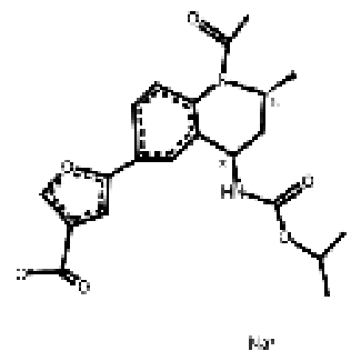 CC(=O)N1c2ccc(-c3cc(C(=O)[O-])co3)cc2[C@H](NC(=O)OC(C)C)C[C@@H]1C.[Na+]